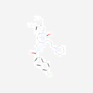 C=C(C)C(CC)CN1CCC(CNC(=O)c2ccc3cc(Cl)ccc3c2)NC(CCN2CCCCC2)C1=O